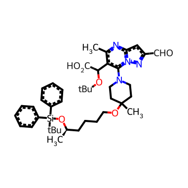 Cc1nc2cc(C=O)nn2c(N2CCC(C)(OCCCC[C@@H](C)O[Si](c3ccccc3)(c3ccccc3)C(C)(C)C)CC2)c1C(OC(C)(C)C)C(=O)O